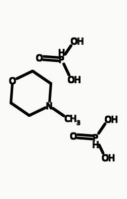 CN1CCOCC1.O=[PH](O)O.O=[PH](O)O